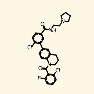 O=C(NCCN1CCCC1)c1ccc(Cl)c(-c2ccc3c(c2)CCCN3C(=O)c2c(F)cccc2Cl)c1